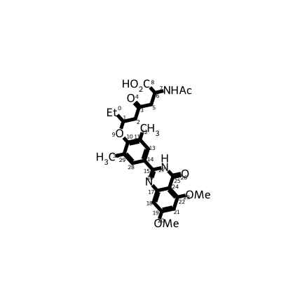 CCC(CC(=O)CC(NC(C)=O)C(=O)O)Oc1c(C)cc(-c2nc3cc(OC)cc(OC)c3c(=O)[nH]2)cc1C